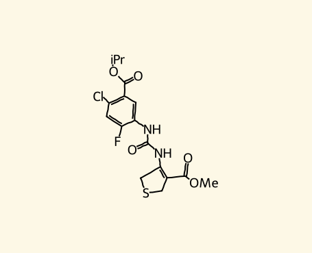 COC(=O)C1=C(NC(=O)Nc2cc(C(=O)OC(C)C)c(Cl)cc2F)CSC1